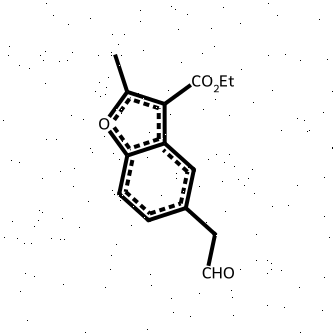 CCOC(=O)c1c(C)oc2ccc(CC=O)cc12